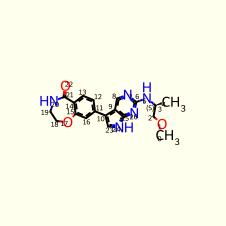 COC[C@H](C)Nc1ncc2c(-c3ccc4c(c3)OCCNC4=O)c[nH]c2n1